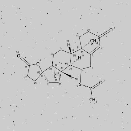 CC(=O)SC1CC2=CC(=O)CC[C@]2(C)[C@H]2CC[C@@]3(C)[C@@H](CC[C@@]34CCC(=O)O4)[C@H]12